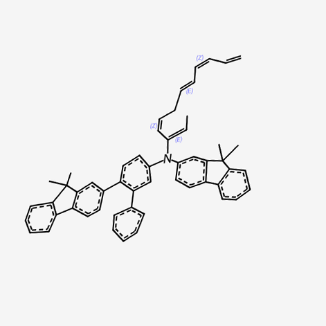 C=C/C=C\C=C\C/C=C\C(=C/C)N(c1ccc(-c2ccc3c(c2)C(C)(C)c2ccccc2-3)c(-c2ccccc2)c1)c1ccc2c(c1)C(C)(C)c1ccccc1-2